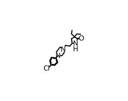 CCC1(CC)CC(CCN2CCN(c3ccc(Cl)cc3)CC2)NC1=O